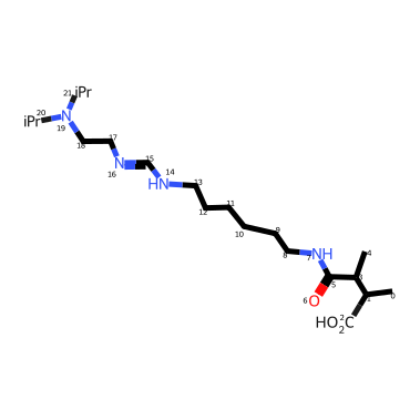 CC(C(=O)O)C(C)C(=O)NCCCCCCNC=NCCN(C(C)C)C(C)C